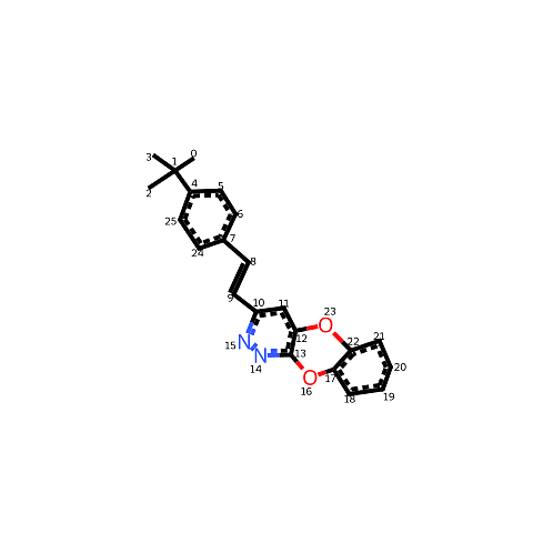 CC(C)(C)c1ccc(C=Cc2cc3c(nn2)Oc2ccccc2O3)cc1